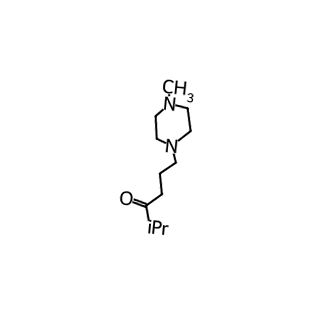 CC(C)C(=O)CCCN1CCN(C)CC1